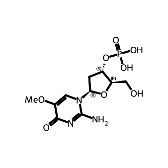 COc1cn([C@H]2C[C@H](OP(=O)(O)O)[C@@H](CO)O2)c(N)nc1=O